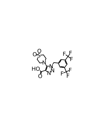 O=C(O)c1nnn(Cc2cc(C(F)(F)F)cc(C(F)(F)F)c2)c1N1CCS(=O)(=O)CC1